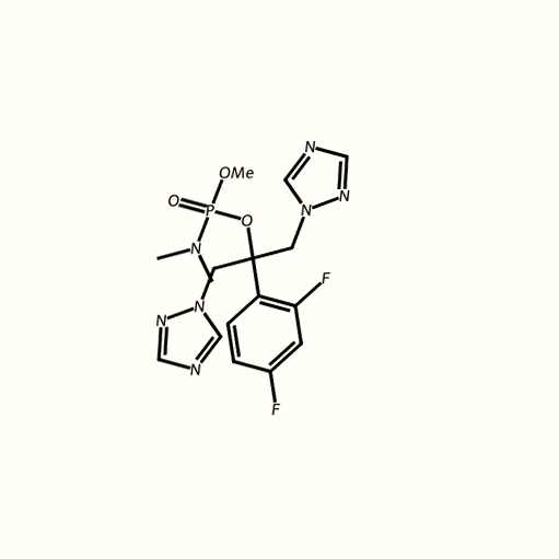 COP(=O)(OC(Cn1cncn1)(Cn1cncn1)c1ccc(F)cc1F)N(C)C